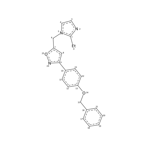 CCc1nccn1Cc1cc(-c2ccc(OCc3ccccc3)cc2)no1